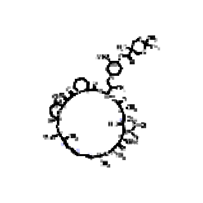 CC[SiH](CC)I(CC)[C@@H]1/C(C)=C/[C@@H](C)C(=O)C[C@@H]([C@H](C)C[C@@H]2CC[C@@H](OC(=O)C3(C)COC(C)(C)OC3)[C@H](OC)C2)OC(=O)[C@@H]2CCCCN2C(=O)C(=O)[C@]2(O)O[C@@H](CC[C@H]2C)C[C@H](OC)/C(C)=C/C=C/C=C/[C@@H](C)C[C@@H](C)C(=O)[C@@H]1OC